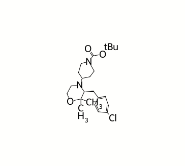 CC(C)(C)OC(=O)N1CCC(N2CCOC(C)(C)[C@@H]2Cc2ccc(Cl)cc2)CC1